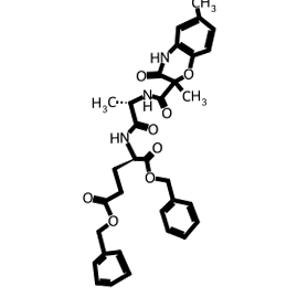 Cc1ccc2c(c1)NC(=O)C(C)(C(=O)N[C@@H](C)C(=O)N[C@H](CCC(=O)OCc1ccccc1)C(=O)OCc1ccccc1)O2